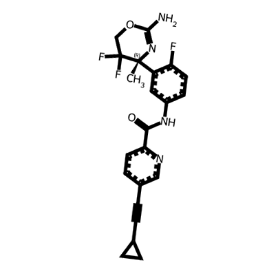 C[C@]1(c2cc(NC(=O)c3ccc(C#CC4CC4)cn3)ccc2F)N=C(N)OCC1(F)F